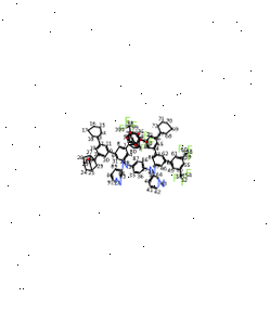 FC(F)(F)c1cc(-c2cc(-c3cc(C4CCCCC4)cc(C45CC6CC(CC4C6)C5)c3)cc(N(c3ccc(N(c4cccnc4)c4cc(-c5cc(C(F)(F)F)cc(C(F)(F)F)c5)cc(-c5cc(C6CCCCC6)cc(C67CC8CC(CC6C8)C7)c5)c4)cc3)c3cccnc3)c2)cc(C(F)(F)F)c1